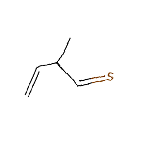 C=CC(C)C=S